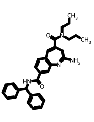 CCCN(CCC)C(=O)C1=Cc2ccc(C(=O)NC(c3ccccc3)c3ccccc3)cc2N=C(N)C1